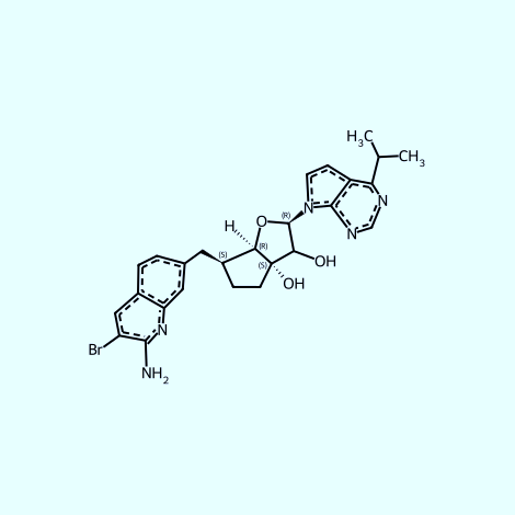 CC(C)c1ncnc2c1ccn2[C@@H]1O[C@@H]2[C@H](Cc3ccc4cc(Br)c(N)nc4c3)CC[C@]2(O)C1O